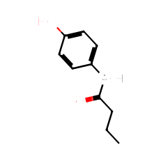 CCCC(=O)[AsH]c1ccc(O)cc1